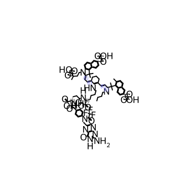 CCCC/N=C(\C=C\C1=C(NCCCC[C@H](NC(=O)CC[C@H](NC(=O)c2ccc(N(Cc3cnc4nc(N)[nH]c(=O)c4n3)C(=O)C(F)(F)F)cc2)C(=O)O)C(=O)O)C(=C/C=C2/N(CCC(C)S(=O)(=O)O)c3ccc4cc(S(=O)(=O)O)ccc4c3C2(C)C)/CCC1)C(C)(C)c1c(C)ccc2cc(S(=O)(=O)O)ccc12